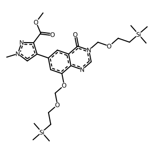 COC(=O)c1nn(C)cc1-c1cc(OCOCC[Si](C)(C)C)c2ncn(COCC[Si](C)(C)C)c(=O)c2c1